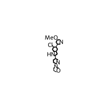 COc1cncc(-c2cc3cc(-c4ccc(N5CCCOC5)nc4)[nH]c3cc2Cl)c1